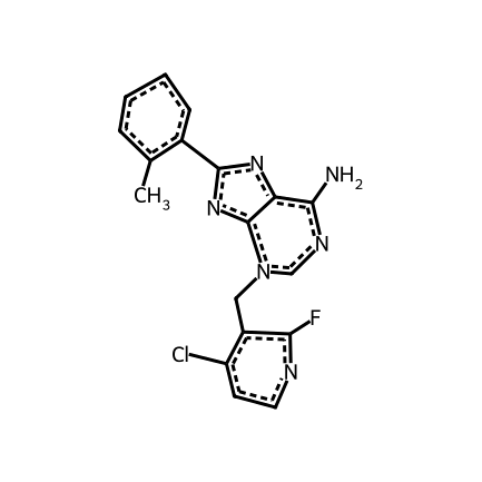 Cc1ccccc1-c1nc2c(N)ncn(Cc3c(Cl)ccnc3F)c-2n1